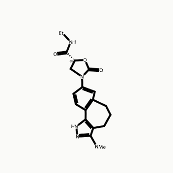 CCNC(=O)[C@H]1CN(c2ccc3c(c2)CCCc2c(NC)n[nH]c2-3)C(=O)O1